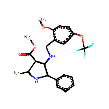 COC(=O)C1C(C)NC(c2ccccc2)C1NCc1cc(OC(F)(F)F)ccc1OC